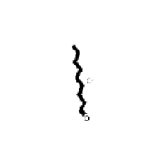 CCCCCCCCC=O.[Cr]